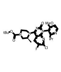 COc1ccnc(C(C)C)c1-n1c(=O)nc(N2CCN(C(=O)OC(C)(C)C)C[C@@H]2C)c2cc(F)c(Cl)nc21